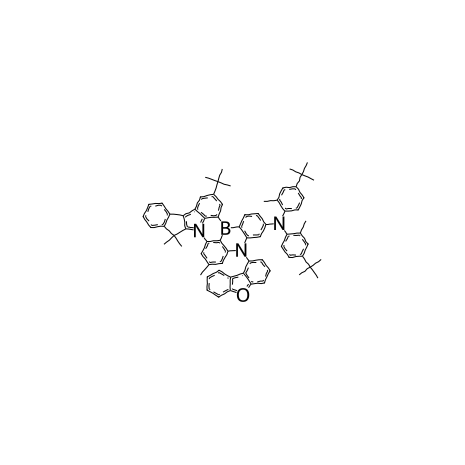 Cc1cc2c3c(c1)-n1c4c(c5cc(C(C)(C)C)cc(c51)B3c1ccc(N(c3ccc(C(C)(C)C)cc3C)c3ccc(C(C)(C)C)cc3C)cc1N2c1cccc2oc3ccccc3c12)-c1ccccc1C4(C)C